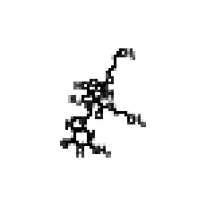 CCCCOC(=O)N[C@](OCn1cnc2c(=O)[nH]c(N)nc21)(C(=O)OCCC)C(C)(C)O